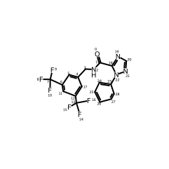 O=C(NCc1cc(C(F)(F)F)cc(C(F)(F)F)c1)c1ncnn1-c1ccccc1